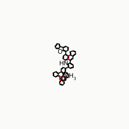 Cc1ccccc1-c1cc(-c2cccc(-c3ccc4ccccc4c3)c2Nc2ccc(-c3cccc4c3oc3ccccc34)cc2)ccc1-c1ccccc1-n1c2ccccc2c2ccccc21